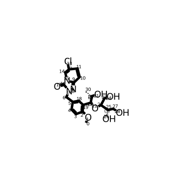 COc1ccc(Cn2nc3ccc(Cl)cn3c2=O)cc1[C@H](OC(CO)[C@@H](O)CO)[C@H](C)O